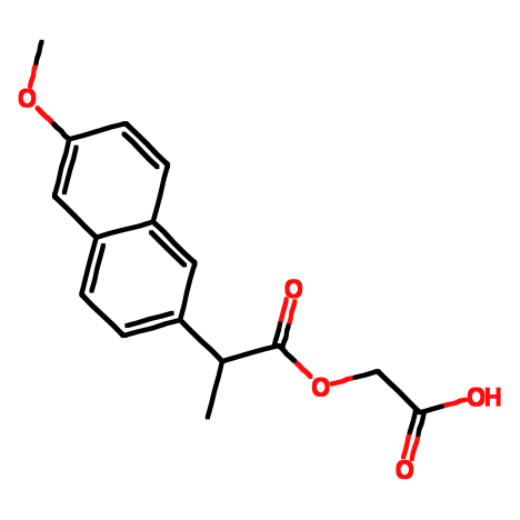 COc1ccc2cc(C(C)C(=O)OCC(=O)O)ccc2c1